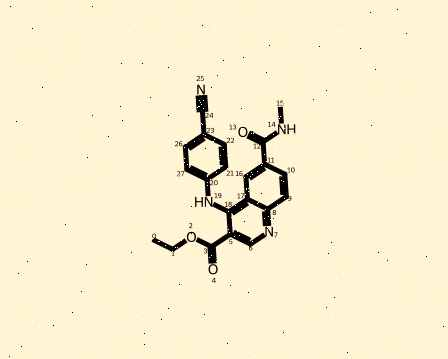 CCOC(=O)c1cnc2ccc(C(=O)NC)cc2c1Nc1ccc(C#N)cc1